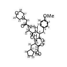 COc1ccc(CC(NC(=O)C(C)NC(=O)CN2CCOCC2)C(=O)NC(CC2CCCC2)C(=O)C2CO2)cc1